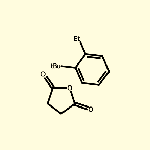 CCc1ccccc1C(C)(C)C.O=C1CCC(=O)O1